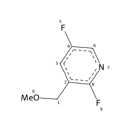 COCc1cc(F)cnc1F